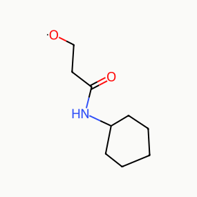 [O]CCC(=O)NC1CCCCC1